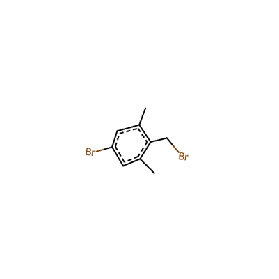 Cc1cc(Br)cc(C)c1CBr